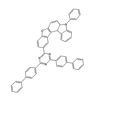 C1=CC2C(c3ccccc3N2c2ccccc2)c2c1oc1ccc(-c3nc(-c4ccc(-c5ccccc5)cc4)nc(-c4ccc(-c5ccccc5)cc4)n3)cc21